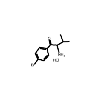 CC(C)C(N)C(=O)c1ccc(Br)cc1.Cl